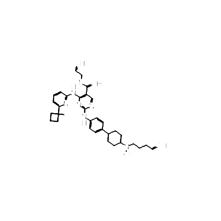 C=CCCCN(C)C1CCC(c2ccc(Nc3ncc(C(=C)NCC=C)c(Nc4cccc(C5(C)CCC5)n4)n3)cc2)CC1